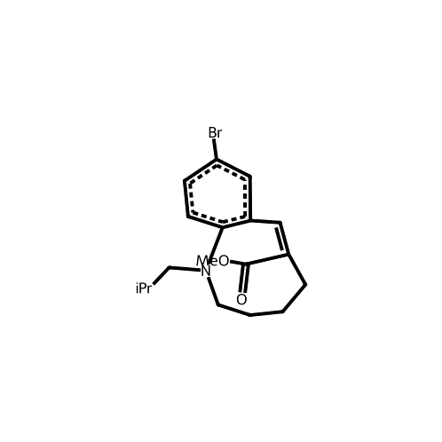 COC(=O)/C1=C\c2cc(Br)ccc2N(CC(C)C)CCCC1